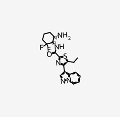 CCc1sc(C(=O)N[C@@H]2[C@@H](N)CCCC2(F)F)nc1-c1cnn2ccccc12